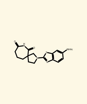 CC(=O)Nc1ccc2nc(N3CCC4(CCCC(=O)NC4=O)C3)sc2c1